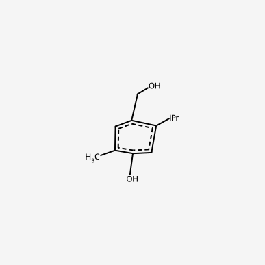 Cc1cc(CO)c(C(C)C)cc1O